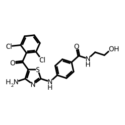 Nc1nc(Nc2ccc(C(=O)NCCO)cc2)sc1C(=O)c1c(Cl)cccc1Cl